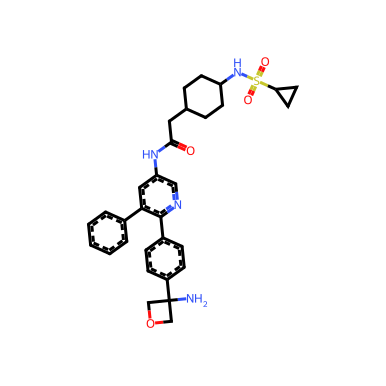 NC1(c2ccc(-c3ncc(NC(=O)CC4CCC(NS(=O)(=O)C5CC5)CC4)cc3-c3ccccc3)cc2)COC1